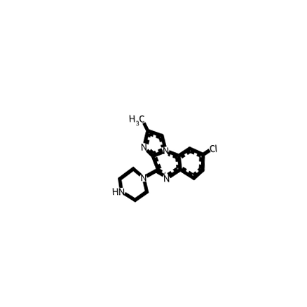 Cc1cn2c(n1)c(N1CCNCC1)nc1ccc(Cl)cc12